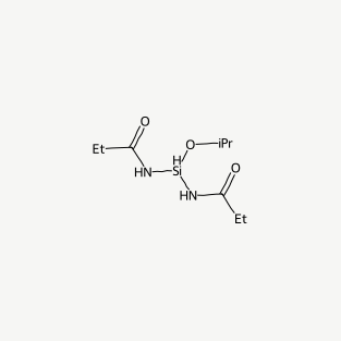 CCC(=O)N[SiH](NC(=O)CC)OC(C)C